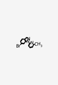 Cc1cccc(-n2ncc3ccc(Br)cc32)n1